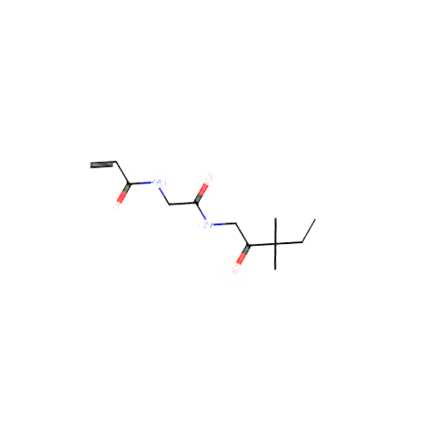 C=CC(=O)NCC(=O)NCC(=O)C(C)(C)CC